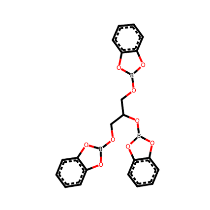 c1ccc2c(c1)OB(OCC(COB1Oc3ccccc3O1)OB1Oc3ccccc3O1)O2